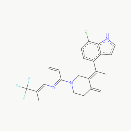 C=C/C(=N\C=C(/C)C(F)(F)F)N1CCC(=C)/C(=C(\C)c2ccc(Cl)c3[nH]ccc23)C1